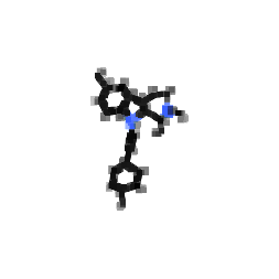 Cc1ccc(C#Cn2c3c(c4cc(C)ccc42)CCN(C)C3C)cc1